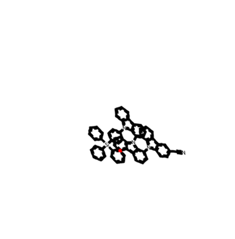 N#Cc1ccc2c(c1)c1ccccc1n2-c1cccc2c3ccccc3n(-c3cccc4c5ccccc5n(-c5ccc([Si](c6ccccc6)(c6ccccc6)c6ccccc6)cc5)c34)c12